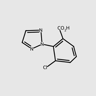 O=C(O)c1cccc(Cl)c1-n1nccn1